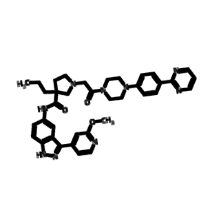 CCCC1(C(=O)Nc2ccc3[nH]nc(-c4ccnc(OC)c4)c3c2)CCN(CC(=O)N2CCN(c3ccc(-c4ncccn4)cc3)CC2)C1